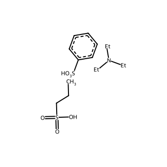 CCCS(=O)(=O)O.CCN(CC)CC.O=S(=O)(O)c1ccccc1